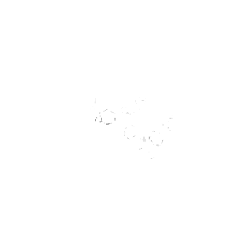 COC(=O)c1cc(NC(=O)C2(c3ccc(C(F)(F)F)cc3F)CC2)ccc1-c1ccc(C(C)(F)F)nc1